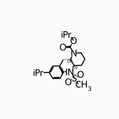 CC(C)OC(=O)N1CCC[C@H](NS(C)(=O)=O)[C@@H]1Cc1cccc(C(C)C)c1